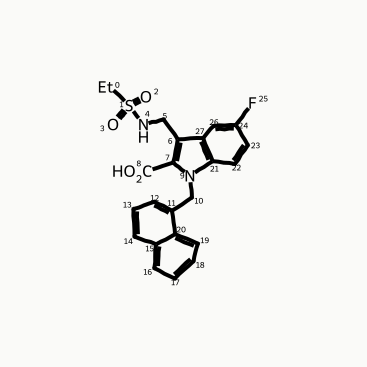 CCS(=O)(=O)NCc1c(C(=O)O)n(Cc2cccc3ccccc23)c2ccc(F)cc12